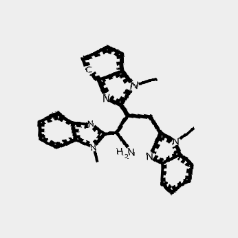 Cn1c(CC(c2nc3ccccc3n2C)C(N)c2nc3ccccc3n2C)nc2ccccc21